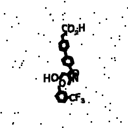 Cc1noc(-c2ccc(-c3ccc(CCC(=O)O)cc3)cc2)c1CC(O)OCc1cccc(C(F)(F)F)c1